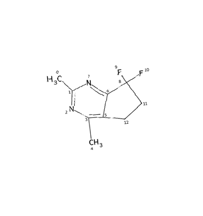 Cc1nc(C)c2c(n1)C(F)(F)CC2